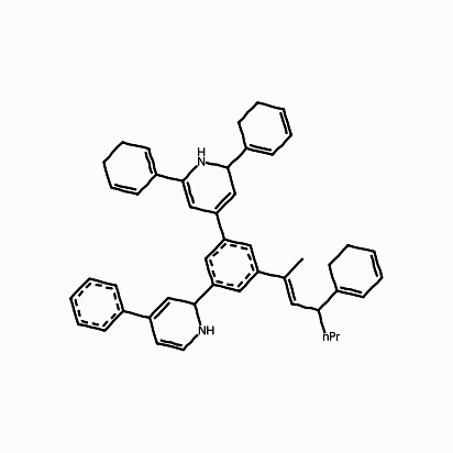 CCCC(/C=C(\C)c1cc(C2=CC(C3=CC=CCC3)NC(C3=CCCC=C3)=C2)cc(C2C=C(c3ccccc3)C=CN2)c1)C1=CC=CCC1